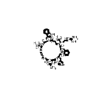 CC(=O)N[C@H]1CC(=O)NCCCC[C@@H](C(N)=O)NC(=O)[C@H](Cc2c[nH]c3ccccc23)NC(=O)[C@H]2CN(C(=O)[C@@H](Cc3ccccc3)NC(=O)[C@H](Cc3c[nH]cn3)NC1=O)[C@@H](CCCNC(=N)N)C(=O)N2